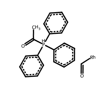 CC(=O)[PH](c1ccccc1)(c1ccccc1)c1ccccc1.O=[CH][Rh]